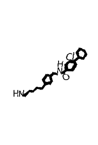 N=CCCCCc1ccc(CCNC(=O)c2ccc(C3CCCCC3)c(Cl)c2)cc1